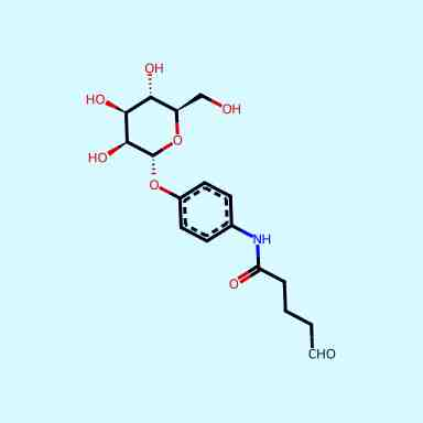 O=CCCCC(=O)Nc1ccc(O[C@H]2O[C@H](CO)[C@@H](O)[C@H](O)[C@@H]2O)cc1